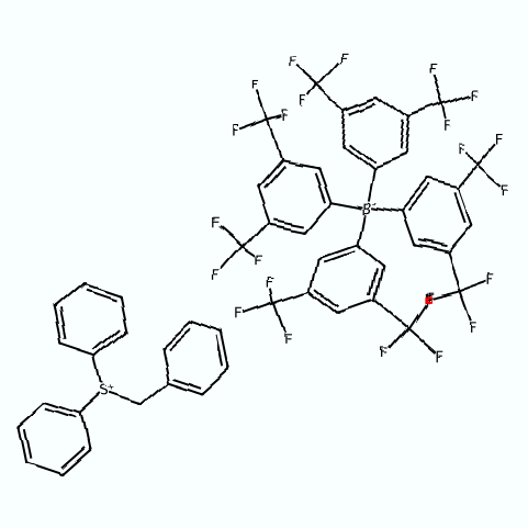 FC(F)(F)c1cc([B-](c2cc(C(F)(F)F)cc(C(F)(F)F)c2)(c2cc(C(F)(F)F)cc(C(F)(F)F)c2)c2cc(C(F)(F)F)cc(C(F)(F)F)c2)cc(C(F)(F)F)c1.c1ccc(C[S+](c2ccccc2)c2ccccc2)cc1